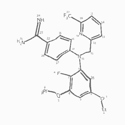 CCOc1cc(OC(C)C)c(F)c(N(Cc2cccc(C(F)(F)F)n2)c2ccc(C(=N)N)cc2)c1